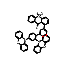 O=C1c2ccccc2S(=O)(=O)c2cccc(-c3cccc(-c4ccc(N5c6ccccc6Oc6ccccc65)cc4N4c5ccccc5Oc5ccccc54)c3)c21